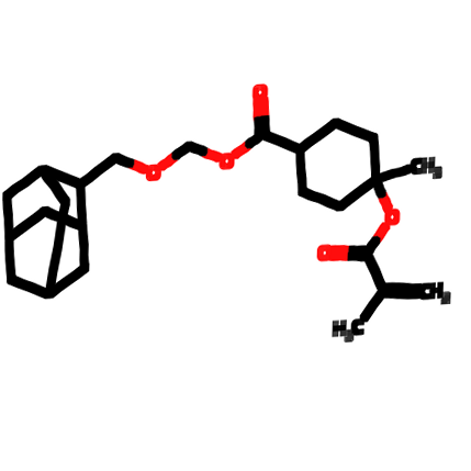 C=C(C)C(=O)OC1(C)CCC(C(=O)OCOCC2C3CC4CC(C3)CC2C4)CC1